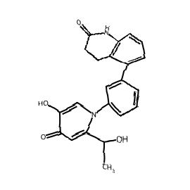 CC(O)c1cc(=O)c(O)cn1-c1cccc(-c2cccc3c2CCC(=O)N3)c1